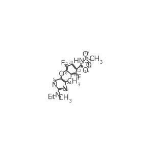 CCN(C)c1ncc(Oc2cc(F)c(C(=O)NS(C)(=O)=O)cc2F)c(C)n1